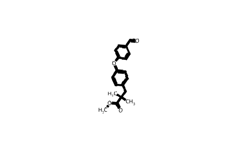 COC(=O)C(C)(C)Cc1ccc(Oc2ccc(C=O)cc2)cc1